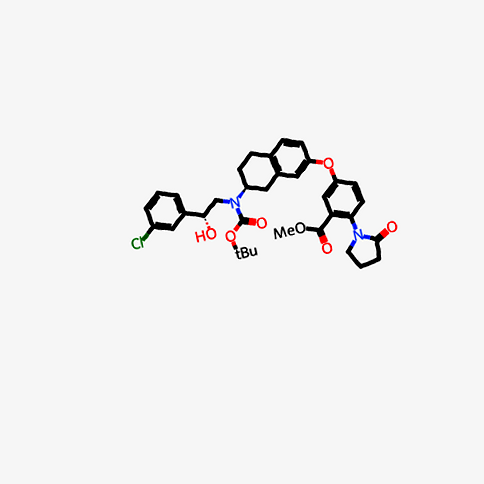 COC(=O)c1cc(Oc2ccc3c(c2)C[C@@H](N(C[C@H](O)c2cccc(Cl)c2)C(=O)OC(C)(C)C)CC3)ccc1N1CCCC1=O